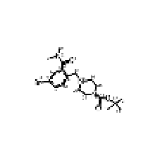 CN(C)C(=O)c1cc(Br)ccc1CN1CCN(C(=O)OC(C)(C)C)CC1